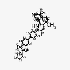 CC(C)(F)C[C@H](N[C@@H](c1ccc(-c2ccc(C3(C(=O)N4CCCC4)CC3)cc2)cc1)C(F)F)C(=O)NC1(C#N)CC1